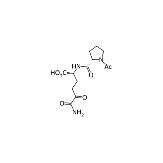 CC(=O)N1CCC[C@H]1C(=O)N[C@@H](CCC(=O)C(N)=O)C(=O)O